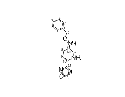 c1ccc(CON[C@@H]2CC[C@@H](c3ncon3)NC2)cc1